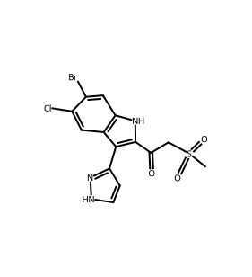 CS(=O)(=O)CC(=O)c1[nH]c2cc(Br)c(Cl)cc2c1-c1cc[nH]n1